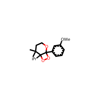 COc1cccc(C23OCCC(C)(C)C2(C(C)C)OO3)c1